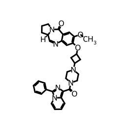 COc1cc2c(cc1OC1CC(N3CCN(C(=O)c4nc(-c5ccccc5)n5ccccc45)CC3)C1)N=C[C@@H]1CCCN1C2=O